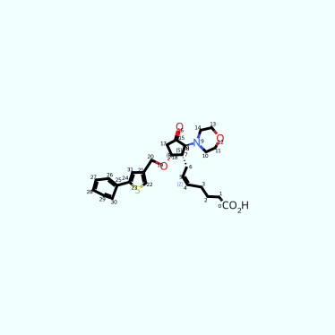 O=C(O)CCC/C=C\C[C@H]1[C@H](N2CCOCC2)C(=O)C[C@H]1OCc1csc(-c2ccccc2)c1